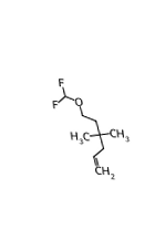 C=CCC(C)(C)CCOC(F)F